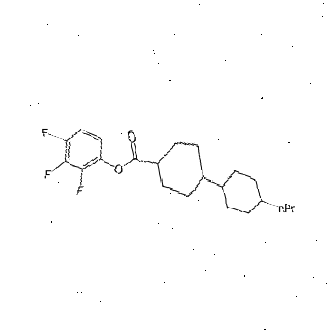 CCCC1CCC(C2CCC(C(=O)Oc3ccc(F)c(F)c3F)CC2)CC1